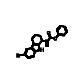 O=C(NC1CCCc2c1[nH]c1ccc(Br)cc21)Oc1ccccc1